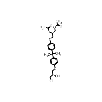 CC(=O)OC[C@@H](COc1ccc(C(C)(C)c2ccc(OC[C@@H](O)CCl)cc2)cc1)OC(C)=O